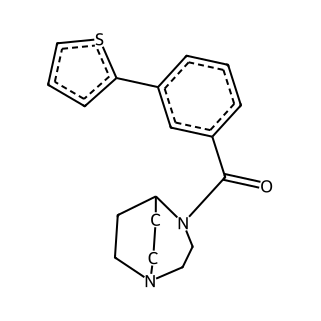 O=C(c1cccc(-c2cccs2)c1)N1CCN2CCC1CC2